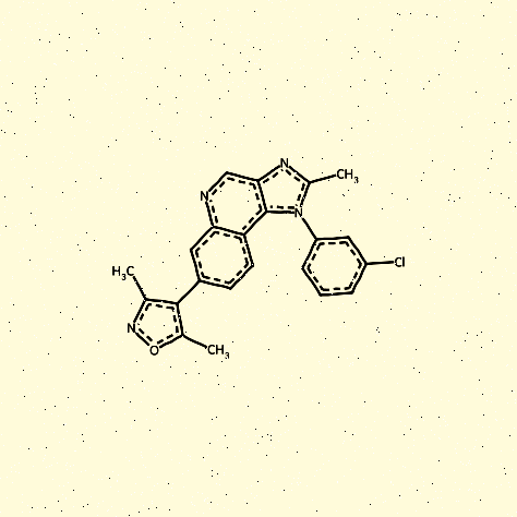 Cc1noc(C)c1-c1ccc2c(c1)ncc1nc(C)n(-c3cccc(Cl)c3)c12